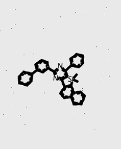 C[Si]1(C)c2c(-c3ccccc3)nc(-c3cccc(-c4ccccc4)c3)nc2-c2ccc3ccccc3c21